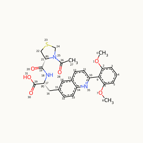 COc1cccc(OC)c1-c1ccc2cc(C[C@@H](NC(=O)[C@@H]3CSCN3C(C)=O)C(=O)O)ccc2n1